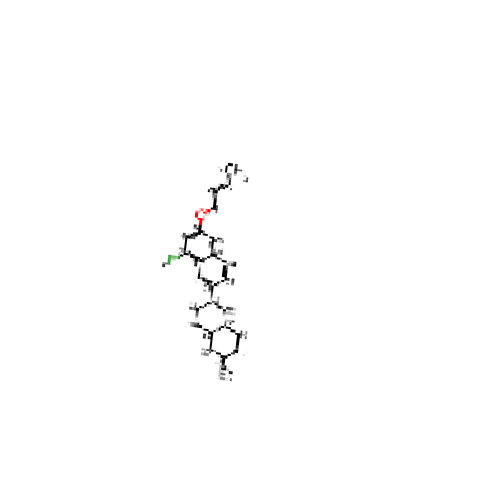 C/C=C/COc1cc(F)c2cc(C3CCC4CC(CC)CCC4C3)ccc2c1